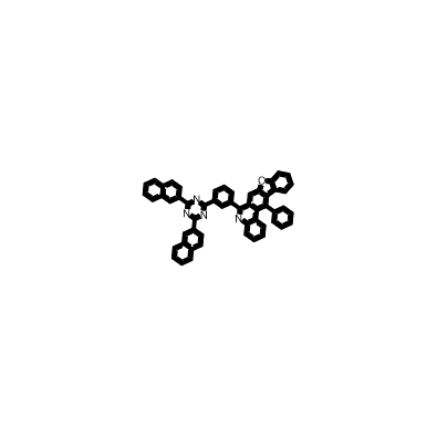 c1ccc(-c2c3c(cc4c(-c5cccc(-c6nc(-c7ccc8ccccc8c7)nc(-c7ccc8ccccc8c7)n6)c5)nc5ccccc5c24)oc2ccccc23)cc1